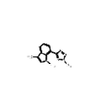 Cc1cn(C)c2c(-c3nnn(C)n3)cccc12